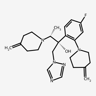 C=C1CCN(c2cc(F)ccc2[C@@](O)(Cn2cncn2)[C@@H](C)N2CCC(=C)CC2)CC1